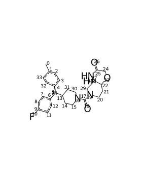 Cc1ccc([C@H](c2ccc(F)cc2)C2CCN(C(=O)N3CCC4OCC(=O)N[C@@H]4C3)CC2)cc1